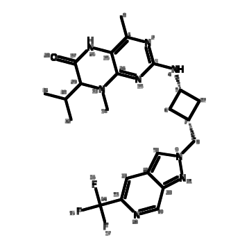 Cc1nc(N[C@H]2C[C@@H](Cn3cc4cc(C(F)(F)F)ncc4n3)C2)nc2c1NC(=O)C(C(C)C)N2C